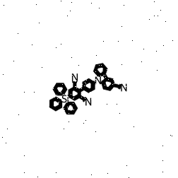 N#Cc1ccc2c(c1)c1ccccc1n2-c1ccc(-c2c(C#N)cc([Si](c3ccccc3)(c3ccccc3)c3ccccc3)cc2C#N)cc1